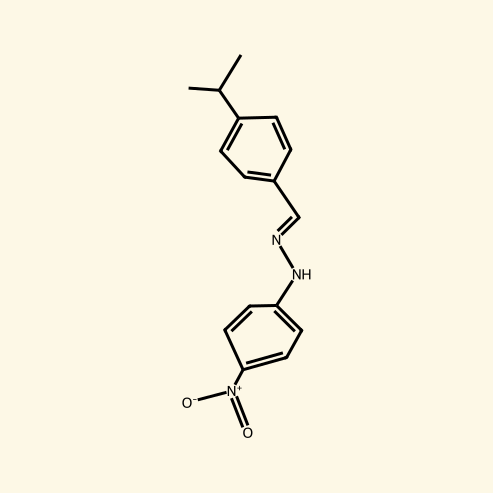 CC(C)c1ccc(C=NNc2ccc([N+](=O)[O-])cc2)cc1